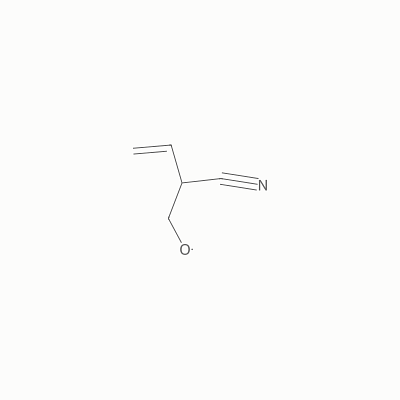 C=CC(C#N)C[O]